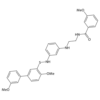 COc1cccc(C(=O)NCCNc2cccc(NSc3cc(-c4cccc(OC)c4)ccc3OC)c2)c1